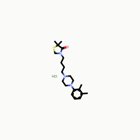 Cc1cccc(N2CCN(CCCCN3CSC(C)(C)C3=O)CC2)c1C.Cl